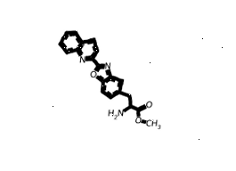 COC(=O)C(N)Cc1ccc2oc(-c3ccc4ccccc4n3)nc2c1